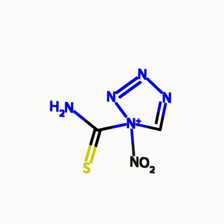 NC(=S)[N+]1([N+](=O)[O-])C=NN=N1